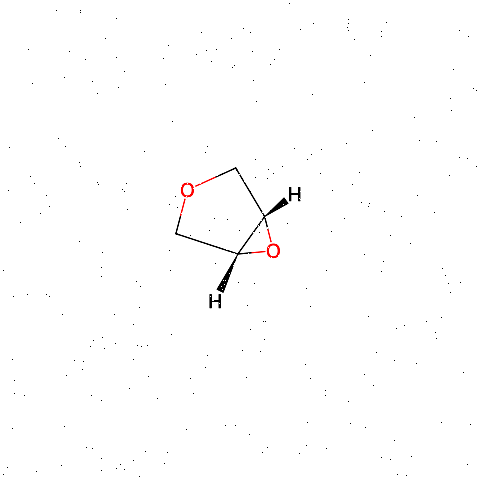 C1OC[C@H]2O[C@@H]12